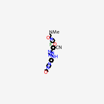 CNCCC(=O)N1CC[C@H](Oc2ccc(-c3ncnc(Nc4ccc(N5CCN(C6COC6)CC5)cc4)n3)cc2C#N)[C@H](F)C1